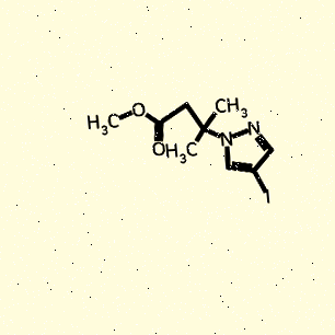 COC(=O)CC(C)(C)n1cc(I)cn1